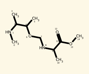 CNC(C)C(C)OCNC(C)C(=O)OC